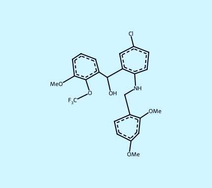 COc1ccc(CNc2ccc(Cl)cc2C(O)c2cccc(OC)c2OC(F)(F)F)c(OC)c1